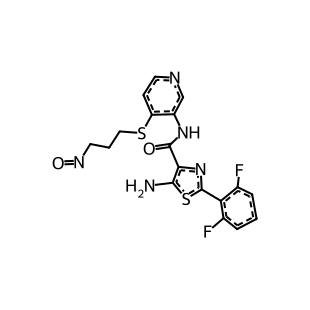 Nc1sc(-c2c(F)cccc2F)nc1C(=O)Nc1cnccc1SCCCN=O